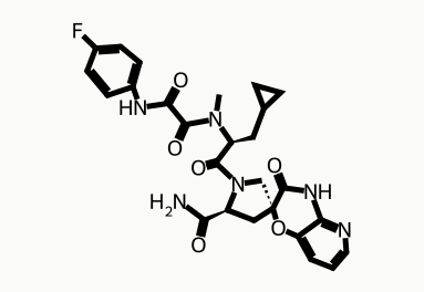 CN(C(=O)C(=O)Nc1ccc(F)cc1)[C@@H](CC1CC1)C(=O)N1C[C@@]2(C[C@H]1C(N)=O)Oc1cccnc1NC2=O